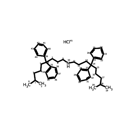 CC(C)CCCC(CCCNCCCC(CCCC(C)C)(c1ccccc1)c1ccccc1)(c1ccccc1)c1ccccc1.Cl